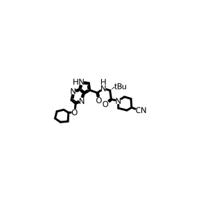 CC(C)(C)[C@@H](NC(=O)c1c[nH]c2ncc(OC3CCCCC3)nc12)C(=O)N1CCC(C#N)CC1